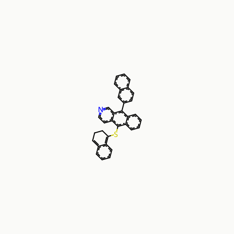 C1=c2ccccc2=C(Sc2c3ccccc3c(-c3ccc4ccccc4c3)c3cnccc23)CC1